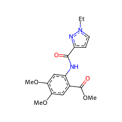 CCn1ccc(C(=O)Nc2cc(OC)c(OC)cc2C(=O)OC)n1